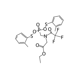 CCOC(=O)CN(CP(=O)(OSc1ccccc1C)OSc1ccccc1C)C(=O)C(F)(F)F